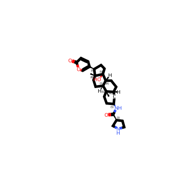 C[C@]12CC[C@H](NC(=O)[C@H]3CCNC3)C[C@H]1CC[C@@H]1[C@@H]2CC[C@]2(C)[C@@H](c3ccc(=O)oc3)CC[C@]12O